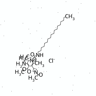 CCCCCCCCCCCCCCCCCCNC(=O)O[N+]1(CC)C(C)=C(C2CN(C(C)=O)C2)C(C(=O)OC)=C(N)C1C.[Cl-]